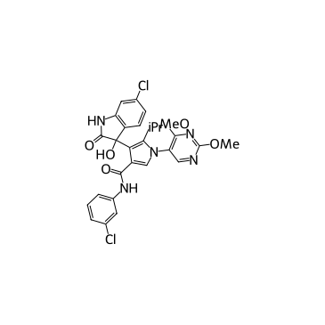 COc1ncc(-n2cc(C(=O)Nc3cccc(Cl)c3)c(C3(O)C(=O)Nc4cc(Cl)ccc43)c2C(C)C)c(OC)n1